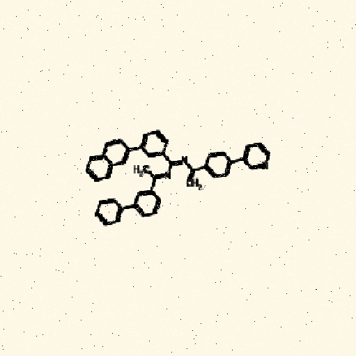 C=C(/N=C(\N=C(/C)c1cccc(-c2ccccc2)c1)c1cccc(-c2ccc3ccccc3c2)c1)c1ccc(-c2cccnc2)cc1